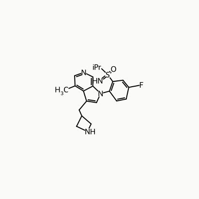 Cc1cncc2c1c(CC1CNC1)cn2-c1ccc(F)cc1S(=N)(=O)C(C)C